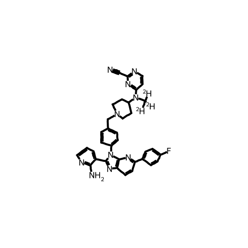 [2H]C([2H])([2H])N(c1ccnc(C#N)n1)C1CCN(Cc2ccc(-n3c(-c4cccnc4N)nc4ccc(-c5ccc(F)cc5)nc43)cc2)CC1